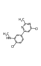 CNc1cc(-c2cc(Cl)nc(C)n2)ccc1Cl